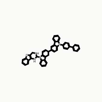 C1=CC(c2ccc3c(c2)c2ccccc2n3-c2ccc(-c3ccccc3)cc2)Cc2c1n(C1NCc3oc4ccccc4c3N1)c1ccccc21